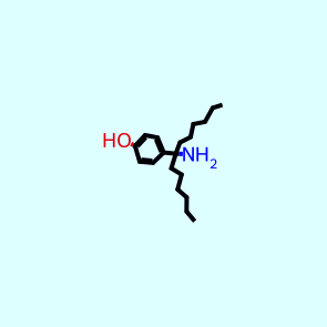 CCCCCCC(N)(CCCCCC)c1ccc(O)cc1